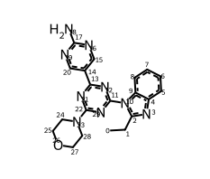 CCc1nc2ccccc2n1-c1nc(-c2cnc(N)nc2)nc(N2CCOCC2)n1